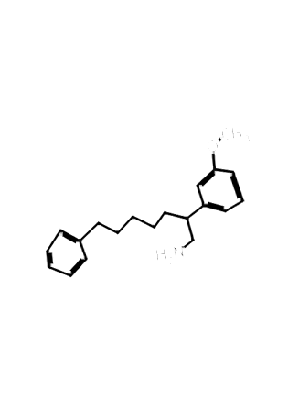 COc1cccc(C(CN)CCCCCc2ccccc2)c1